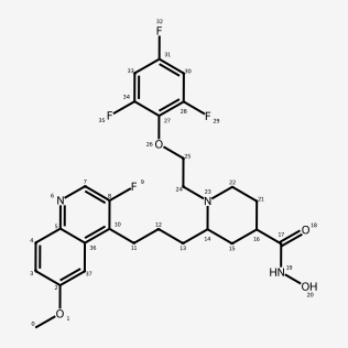 COc1ccc2ncc(F)c(CCCC3CC(C(=O)NO)CCN3CCOc3c(F)cc(F)cc3F)c2c1